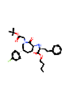 CCCCOC(=O)[C@H](CCc1ccccc1)N[C@H]1CC[C@H](c2ccc(F)cc2)CN(CC(=O)OC(C)(C)C)C1=O